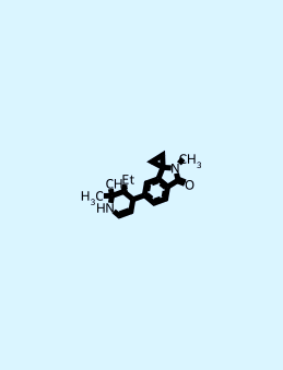 CCC1C(c2ccc3c(c2)C2(CC2)N(C)C3=O)C=CNC1(C)C